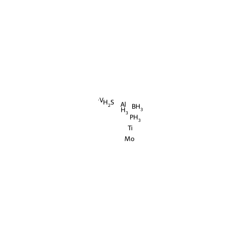 B.P.S.[AlH3].[Mo].[Ti].[V]